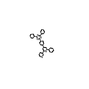 c1ccc(-c2cc(-c3ccc(-c4nc(-c5ccccc5)nc(-c5ccccc5)n4)cc3)cc(-c3cccnc3)n2)cc1